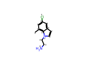 Cc1cc(Cl)cc2ccn(CCN)c12